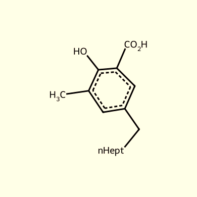 CCCCCCCCc1cc(C)c(O)c(C(=O)O)c1